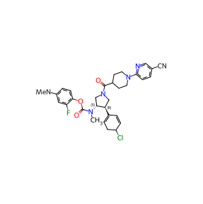 CNc1ccc(OC(=O)N(C)[C@@H]2CN(C(=O)C3CCN(c4ccc(C#N)cn4)CC3)C[C@H]2C2=CCC(Cl)C=C2)c(F)c1